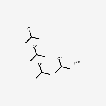 CC(C)[O-].CC(C)[O-].CC(C)[O-].CC(C)[O-].[Hf+4]